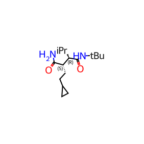 CC(C)[C@@H](C(=O)NC(C)(C)C)[C@H](CCC1CC1)C(N)=O